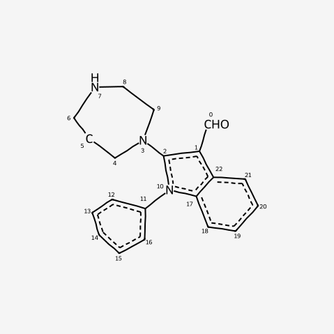 O=Cc1c(N2CCCNCC2)n(-c2ccccc2)c2ccccc12